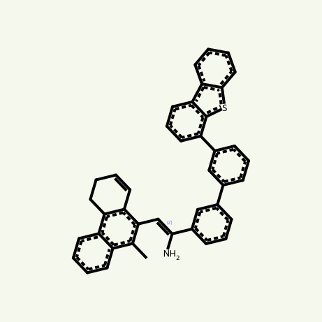 Cc1c(/C=C(\N)c2cccc(-c3cccc(-c4cccc5c4sc4ccccc45)c3)c2)c2c(c3ccccc13)CCC=C2